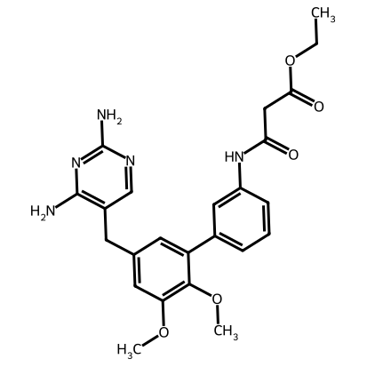 CCOC(=O)CC(=O)Nc1cccc(-c2cc(Cc3cnc(N)nc3N)cc(OC)c2OC)c1